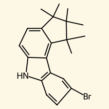 CC1(C)c2ccc3[nH]c4ccc(Br)cc4c3c2C(C)(C)C1(C)C